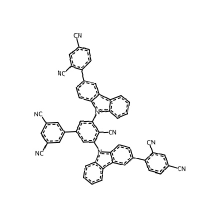 N#Cc1cc(C#N)cc(-c2cc(-n3c4ccccc4c4cc(-c5ccc(C#N)cc5C#N)ccc43)c(C#N)c(-n3c4ccccc4c4cc(-c5ccc(C#N)cc5C#N)ccc43)c2)c1